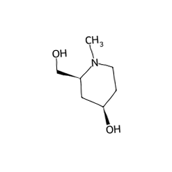 CN1CC[C@@H](O)C[C@H]1CO